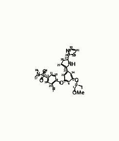 COC[C@H](C)Oc1cc(Oc2ccc(S(=O)(=O)N(C)C)cc2F)cc(C2=CCC(c3nccs3)N2)c1